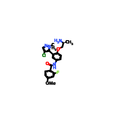 COc1ccc(C(=O)Nc2ccc(OC[C@@H](C)N)c(-c3c(Cl)cnn3C)c2)c(F)c1